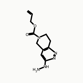 C=CCOC(=O)N1CCc2nnc(NN)cc2C1